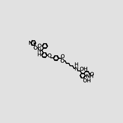 O=C(NC(c1ccccc1)c1cccc(OCc2ccc(C(=O)OCCCCCCNCC(O)c3ccc(O)c4[nH]c(=O)ccc34)cc2)c1)OC1CN2CCC1CC2